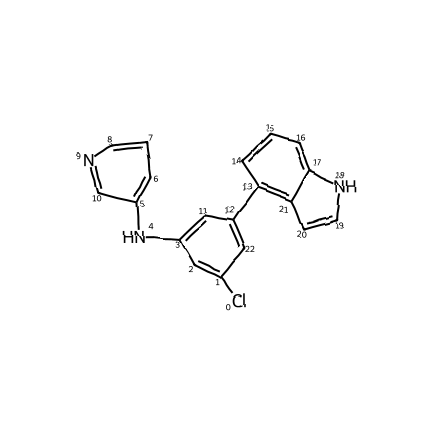 Clc1cc(Nc2cccnc2)cc(-c2cccc3[nH]ccc23)c1